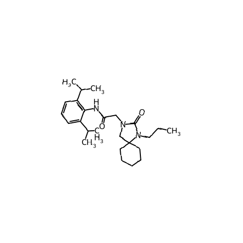 CCCN1C(=O)N(CC(=O)Nc2c(C(C)C)cccc2C(C)C)CC12CCCCC2